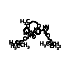 CC1CCCOc2nc(ccc2-c2nncn2COCC[Si](C)(C)C)-n2c(=O)n(COCC[Si](C)(C)C)c3nccc(c32)O1